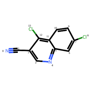 N#Cc1cnc2cc(Cl)ccc2c1Cl